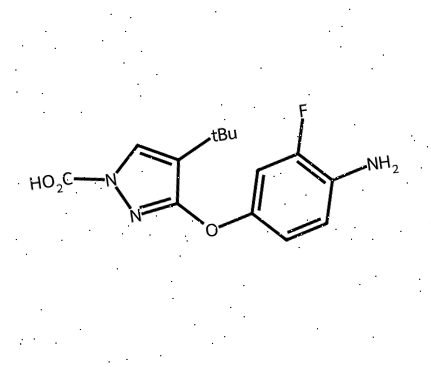 CC(C)(C)c1cn(C(=O)O)nc1Oc1ccc(N)c(F)c1